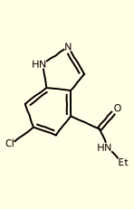 CCNC(=O)c1cc(Cl)cc2[nH]ncc12